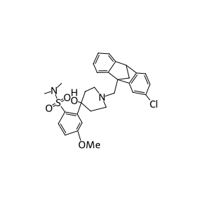 COc1ccc(S(=O)(=O)N(C)C)c(C2(O)CCN(CC34CC(c5ccccc53)c3ccc(Cl)cc34)CC2)c1